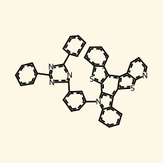 c1ccc(-c2nc(-c3ccccc3)nc(-c3cccc(-n4c5ccccc5c5c6sc7ncccc7c6c6c7ccccc7sc6c54)c3)n2)cc1